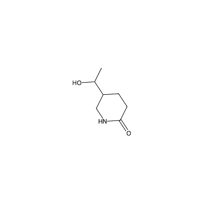 CC(O)C1CCC(=O)NC1